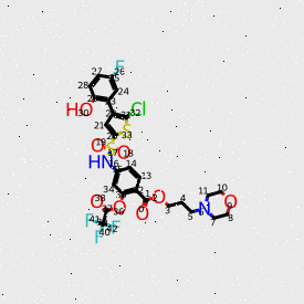 O=C(OCCCN1CCOCC1)c1ccc(NS(=O)(=O)c2cc(-c3cc(F)ccc3O)c(Cl)s2)cc1OC(=O)C(F)(F)F